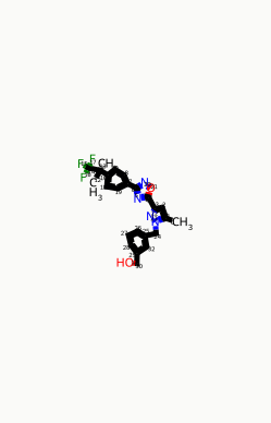 Cc1cc(-c2nc(-c3ccc(C(C)(C)C(F)(F)F)cc3)no2)nn1Cc1cccc(CO)c1